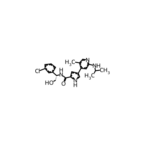 Cc1cnc(NC(C)C)cc1-c1c[nH]c(C(=O)N[C@H](CO)c2cccc(Cl)c2)c1